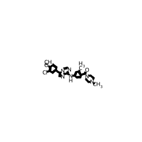 COc1ccc(-c2cnc3c(Nc4ccc(C(=O)N5CCN(C)CC5)c(C)c4)nccn23)cc1Cl